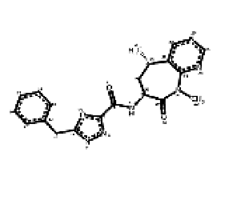 C[C@H]1C[C@H](NC(=O)c2nnc(Cc3ccccc3)o2)C(=O)N(C)c2ncncc21